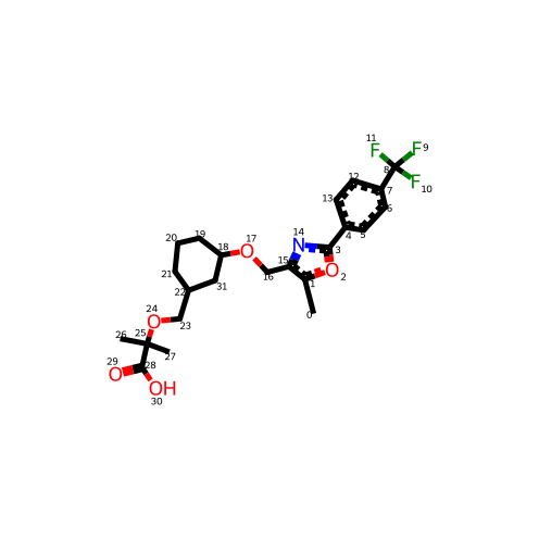 Cc1oc(-c2ccc(C(F)(F)F)cc2)nc1COC1CCCC(COC(C)(C)C(=O)O)C1